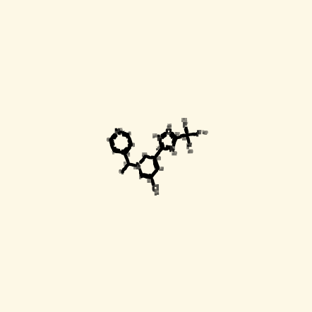 CC(c1ccncc1)N1C=C(Cl)C=C(c2noc(C(F)(F)F)n2)C1